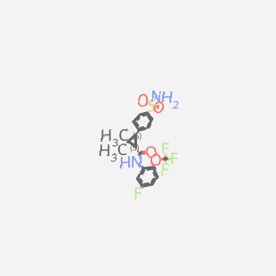 CC1(C)[C@@H](C(=O)Nc2cc(F)ccc2OC(F)(F)F)[C@@H]1c1ccc(S(N)(=O)=O)cc1